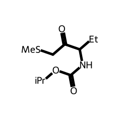 CCC(NC(=O)OC(C)C)C(=O)CSC